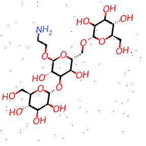 NCCO[C@H]1O[C@H](CO[C@H]2O[C@H](CO)[C@@H](O)C(O)C2O)[C@@H](O)C(O[C@H]2O[C@H](CO)[C@@H](O)[C@H](O)[C@@H]2O)[C@@H]1O